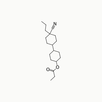 CCCC1(C#N)CCC(C2CCC(OC(=O)CC)CC2)CC1